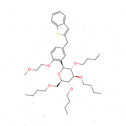 CCCCOC[C@H]1O[C@@H](c2cc(Cc3cc4ccccc4s3)ccc2OCCOC)[C@H](OCCCC)[C@@H](OCCCC)[C@@H]1OCCCC